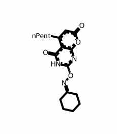 CCCCCc1cc(=O)oc2nc(ON=C3CCCCC3)[nH]c(=O)c12